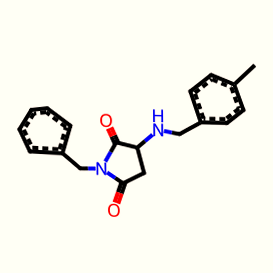 Cc1ccc(CNC2CC(=O)N(Cc3ccccc3)C2=O)cc1